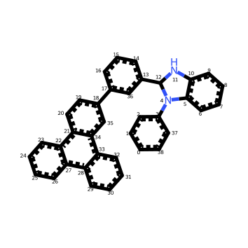 c1ccc(N2c3ccccc3NC2c2cccc(-c3ccc4c5ccccc5c5ccccc5c4c3)c2)cc1